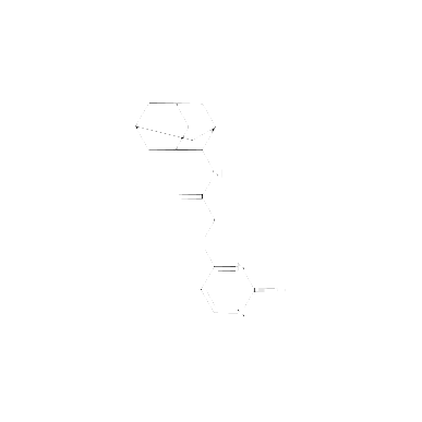 O=C(COc1cc[nH]c(=O)n1)NC1C2CC3CC(C2)CC1C3